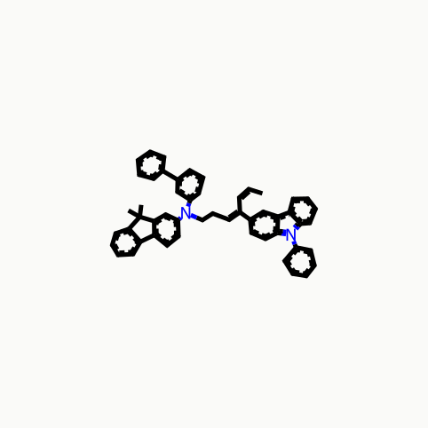 C/C=C\C(=C/CCN(c1cccc(-c2ccccc2)c1)c1ccc2c(c1)C(C)(C)c1ccccc1-2)c1ccc2c(c1)c1ccccc1n2-c1ccccc1